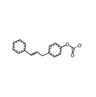 O=[N+]([O-])Oc1ccc(CC=Cc2ccccc2)cc1